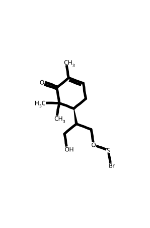 CC1=CC[C@@H](C(CO)COSBr)C(C)(C)C1=O